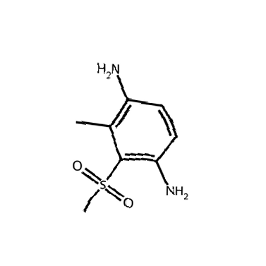 Cc1c(N)ccc(N)c1S(C)(=O)=O